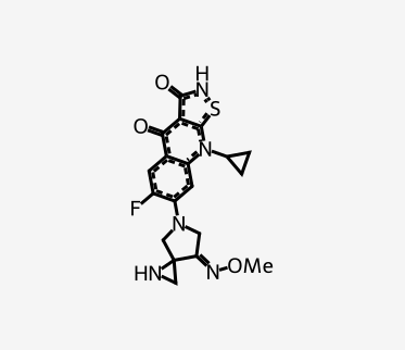 CO/N=C1\CN(c2cc3c(cc2F)c(=O)c2c(=O)[nH]sc2n3C2CC2)CC12CN2